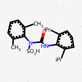 Cc1cccc(C)c1N(C(=O)Nc1c(C(C)C)cccc1C(C)C)S(=O)(=O)O